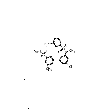 CNS(=O)(=O)c1cccc(C)c1.Cc1cccc(S(=O)(=O)N(C)c2cccc(Cl)n2)c1